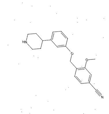 COc1cc(C#N)ccc1COc1cccc(C2CCNCC2)c1